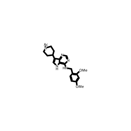 COc1ccc(CNc2ncnc3c(C4CCN(C(C)=O)CC4)c[nH]c23)c(OC)c1